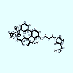 C=c1[nH]c2c(OCCCn3cnc(CO)c3)ccc(-c3cccc(S(=O)(=O)C4CC4)c3)c2/c1=C/C(C)=C\N